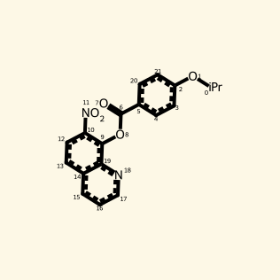 CC(C)Oc1ccc(C(=O)Oc2c([N+](=O)[O-])ccc3cccnc23)cc1